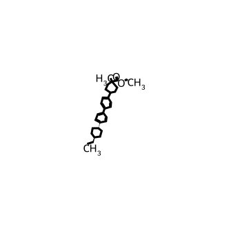 CCC[C@H]1CC[C@H](c2ccc(-c3ccc(C4CCC(C)(C(=O)OCC)CC4)cc3)cc2)CC1